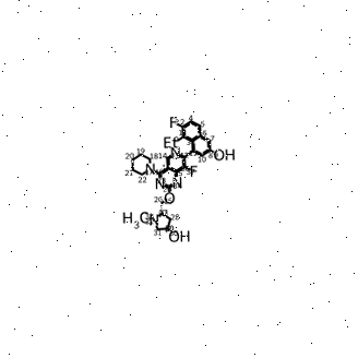 CCc1c(F)ccc2cc(O)cc(-c3ncc4c(N5CCCCC5)nc(OC[C@@H]5C[C@@H](O)CN5C)nc4c3F)c12